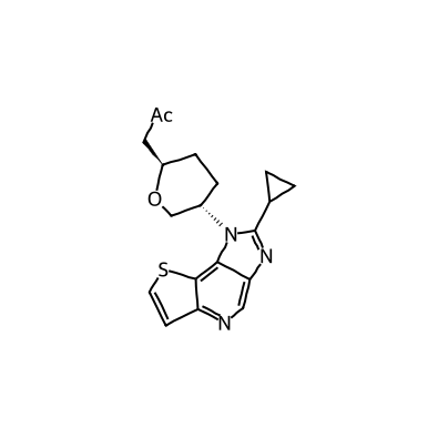 CC(=O)C[C@H]1CC[C@H](n2c(C3CC3)nc3cnc4ccsc4c32)CO1